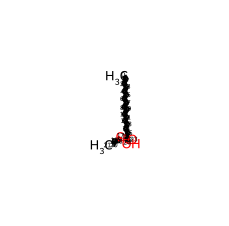 CCCCCCCCCCCCCCCCC(OCCCC)C(=O)O